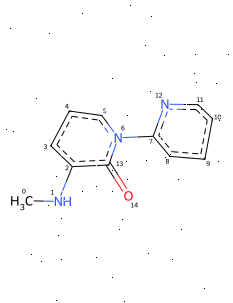 CNc1cccn(-c2ccccn2)c1=O